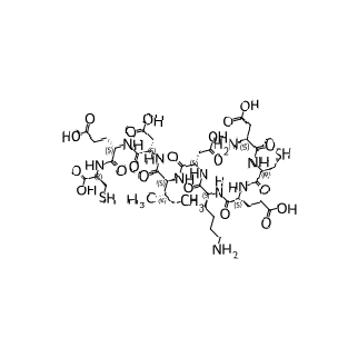 CC[C@H](C)[C@H](NC(=O)[C@H](CC(=O)O)NC(=O)[C@H](CCCCN)NC(=O)[C@H](CCC(=O)O)NC(=O)[C@H](CS)NC(=O)[C@@H](N)CC(=O)O)C(=O)N[C@@H](CC(=O)O)C(=O)N[C@@H](CCC(=O)O)C(=O)N[C@@H](CS)C(=O)O